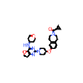 O=C(C1CC1)N1CCc2ccc(OC3CCN(c4nc5c(c(NC6CCOCC6)n4)OCC5)CC3)cc2CC1